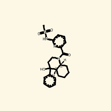 CS(=O)(=O)Nc1cccc(C(=O)N2CCC(O)(c3ccccc3)[C@H]3CCCC[C@H]32)n1